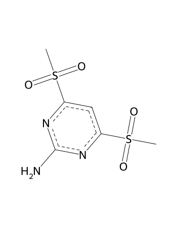 CS(=O)(=O)c1cc(S(C)(=O)=O)nc(N)n1